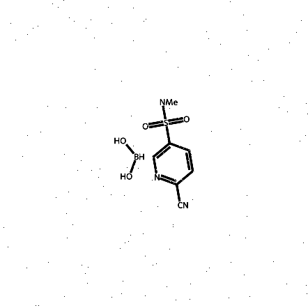 CNS(=O)(=O)c1ccc(C#N)nc1.OBO